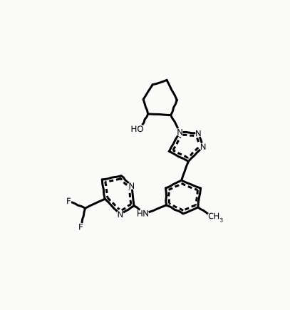 Cc1cc(Nc2nccc(C(F)F)n2)cc(-c2cn(C3CCCCC3O)nn2)c1